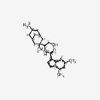 Cc1cc(C)n2ccc(C(=O)NC(CO)C3(C)CC4CC(C)CC(C4)C3)c2n1